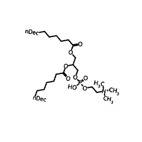 CCCCCCCCCCCCCCCC(=O)OCC(COP(=O)(O)OCC[N+](C)(C)C)OC(=O)CCCCCCCCCCCCCCC